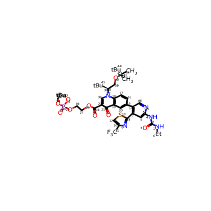 CCNC(=O)Nc1cc(-c2nc(C(F)(F)F)cs2)c(-c2ccc3c(c2)c(=O)c(C(=O)OCCOP(=O)(OC(C)(C)C)OC(C)(C)C)cn3[C@H](CO[Si](C)(C)C(C)(C)C)C(C)(C)C)cn1